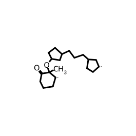 CC1(OC2CCC(CCCC3C[CH]CC3)C2)[CH]CCCC1=O